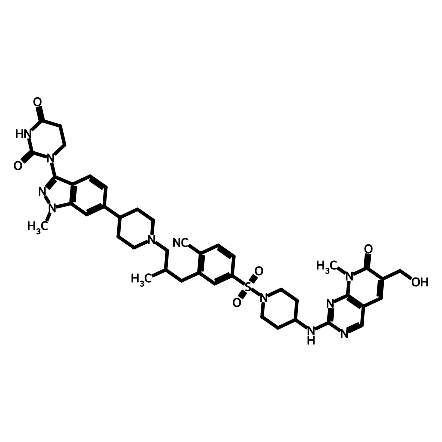 CC(Cc1cc(S(=O)(=O)N2CCC(Nc3ncc4cc(CO)c(=O)n(C)c4n3)CC2)ccc1C#N)CN1CCC(c2ccc3c(N4CCC(=O)NC4=O)nn(C)c3c2)CC1